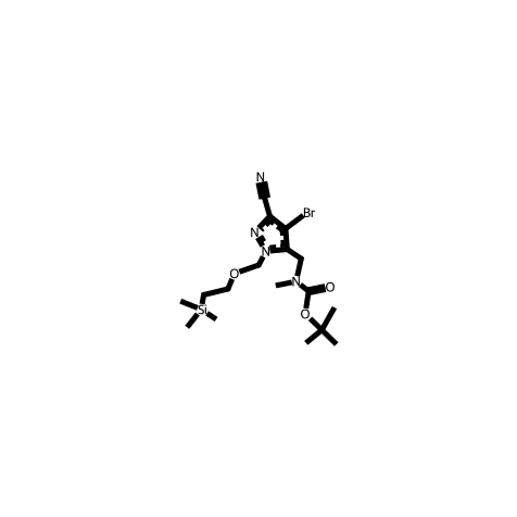 CN(Cc1c(Br)c(C#N)nn1COCC[Si](C)(C)C)C(=O)OC(C)(C)C